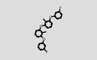 Cc1c(Oc2cccc(F)c2)cccc1Oc1cccc(Oc2cccc(F)c2)c1C